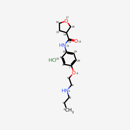 CCCNCCOc1ccc(NC(=O)C2CCOC2)cc1.Cl